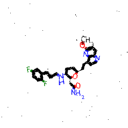 COc1ccc2nccc(/C=C/[C@@H]3CC[C@@H](NC/C=C/c4cc(F)ccc4F)[C@@H](CC(N)=O)O3)c2n1